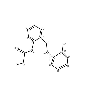 CCC(=O)Oc1ccccc1COc1ccccc1C